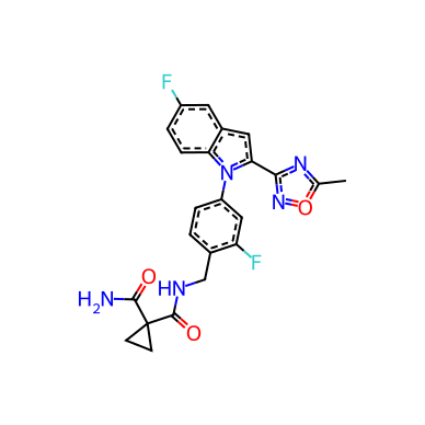 Cc1nc(-c2cc3cc(F)ccc3n2-c2ccc(CNC(=O)C3(C(N)=O)CC3)c(F)c2)no1